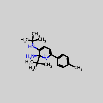 Cc1ccc(C2=CC=C(NC(C)(C)C)C(N)(C(C)(C)C)N2)cc1